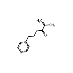 C=C(C)C(=O)CCCc1ccncc1